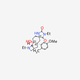 CCN1C(=O)N[C@]2(CC[C@@]3(O)[C@H]4C(CN4CC)C[C@]3(c3cc(OC)ccc3C)C2)C1=O